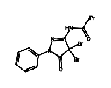 CC(C)C(=O)NC1=NN(c2ccccc2)C(=O)C1(Br)Br